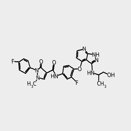 CC(CO)Nc1n[nH]c2nccc(Oc3ccc(NC(=O)c4cn(C)n(-c5ccc(F)cc5)c4=O)cc3F)c12